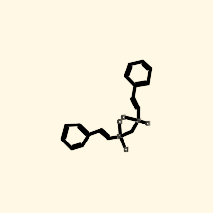 Cl[Si](Cl)(C=Cc1ccccc1)C[Si](Cl)(Cl)C=Cc1ccccc1